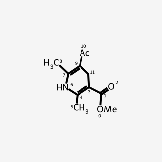 COC(=O)C1=C(C)NC(C)=C(C(C)=O)C1